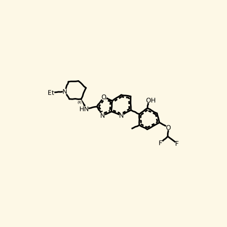 CCN1CCC[C@@H](Nc2nc3nc(-c4c(C)cc(OC(F)F)cc4O)ccc3o2)C1